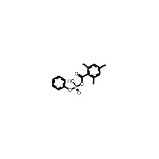 Cc1cc(C)c(C(=O)OP(=O)(O)Oc2ccccc2)c(C)c1